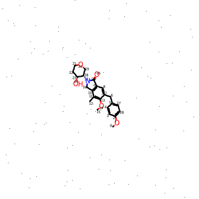 COc1ccc(Cc2cc3c(c(C)c2OC)CN([C@H]2COCC[C@@H]2O)C3=O)cc1